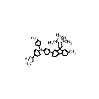 CCC(C)c1ccc(N(c2ccc(C)cc2)c2ccc(-c3ccc4c(c3)C(CCN(C)C)(CCN(C)C)c3cc(C)ccc3-4)cc2)cc1